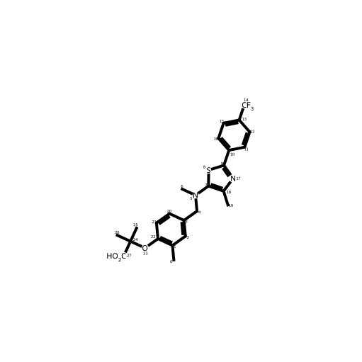 Cc1cc(CN(C)c2sc(-c3ccc(C(F)(F)F)cc3)nc2C)ccc1OC(C)(C)C(=O)O